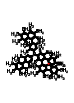 Bc1ccc(-c2c(B)c(B)c(N(c3cc(B)c(-c4c(B)c(B)c(B)c(B)c4B)c(B)c3)c3cc(B)c(-c4c(B)c(B)c(B)c5c(B)c(B)c(B)c(B)c45)c(B)c3B)c(B)c2-c2c(B)c(B)c(B)c3c2sc2c(B)c(B)c(B)c(B)c23)c(B)c1B